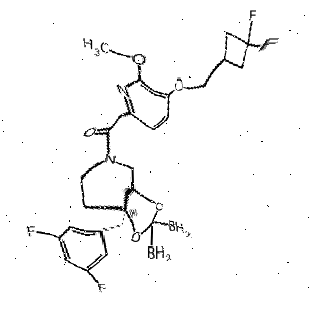 BC1(B)OC2CN(C(=O)c3ccc(OCC4CC(F)(F)C4)c(OC)n3)CC[C@]2(c2cc(F)cc(F)c2)O1